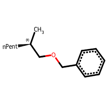 CCCCC[C@@H](C)COCc1ccccc1